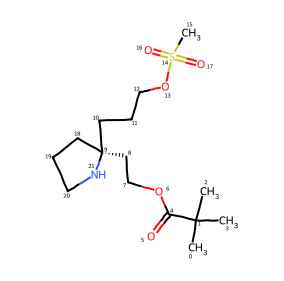 CC(C)(C)C(=O)OCC[C@@]1(CCCOS(C)(=O)=O)CCCN1